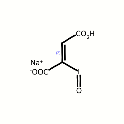 O=I/C(=C\C(=O)O)C(=O)[O-].[Na+]